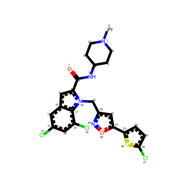 CC(C)N1CCC(NC(=O)c2cc3cc(Cl)cc(Cl)c3n2Cc2cc(-c3ccc(Cl)s3)on2)CC1